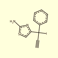 C#CC(I)(c1ccccc1)c1csc(N)n1